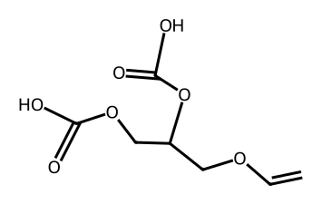 C=COCC(COC(=O)O)OC(=O)O